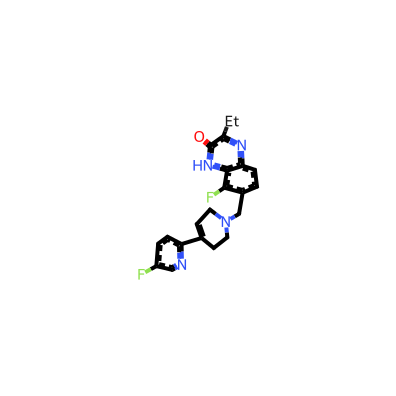 CCc1nc2ccc(CN3CC=C(c4ccc(F)cn4)CC3)c(F)c2[nH]c1=O